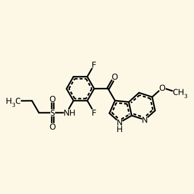 CCCS(=O)(=O)Nc1ccc(F)c(C(=O)c2c[nH]c3ncc(OC)cc23)c1F